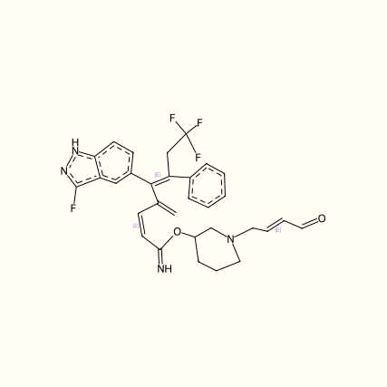 C=C(/C=C\C(=N)OC1CCCN(C/C=C/C=O)C1)/C(=C(/CC(F)(F)F)c1ccccc1)c1ccc2[nH]nc(F)c2c1